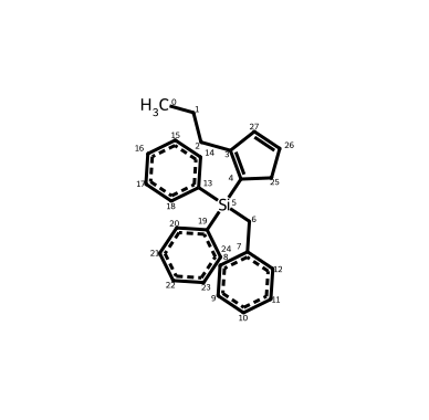 CCCC1=C([Si](Cc2ccccc2)(c2ccccc2)c2ccccc2)CC=C1